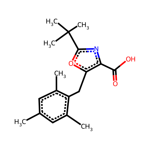 Cc1cc(C)c(Cc2oc(C(C)(C)C)nc2C(=O)O)c(C)c1